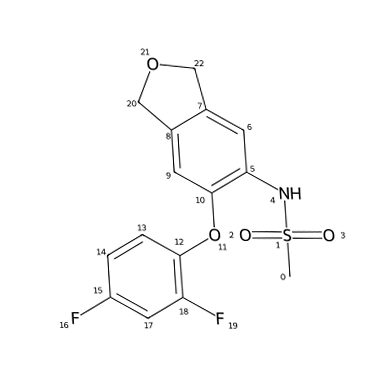 CS(=O)(=O)Nc1cc2c(cc1Oc1ccc(F)cc1F)COC2